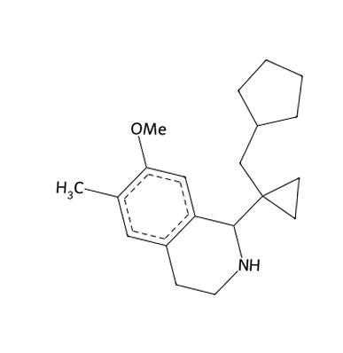 COc1cc2c(cc1C)CCNC2C1(CC2CCCC2)CC1